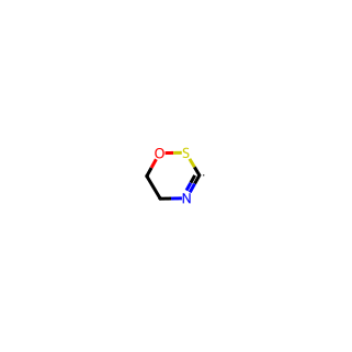 [C]1=NCCOS1